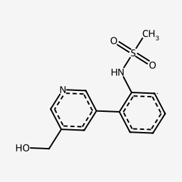 CS(=O)(=O)Nc1[c]cccc1-c1cncc(CO)c1